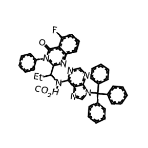 CCC(c1nc2cccc(F)c2c(=O)n1-c1ccccc1)N(C(=O)O)c1ncnc2c1ncn2C(c1ccccc1)(c1ccccc1)c1ccccc1